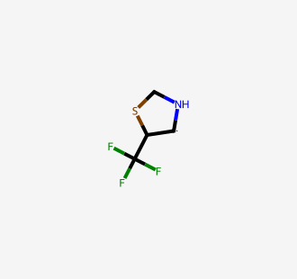 FC(F)(F)C1[CH]NCS1